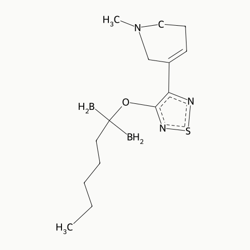 BC(B)(CCCCC)Oc1nsnc1C1=CCCN(C)C1